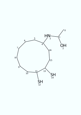 CC(O)NC1CCCCCCC(S)C(S)CC1